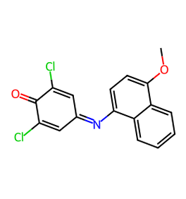 COc1ccc(N=C2C=C(Cl)C(=O)C(Cl)=C2)c2ccccc12